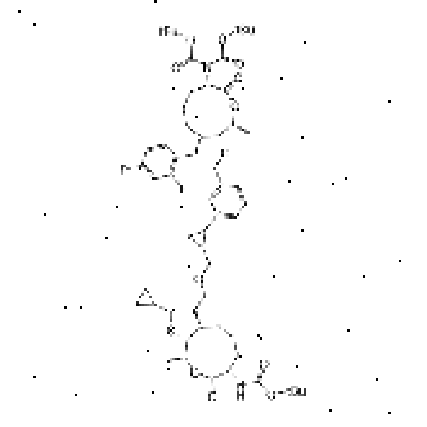 C[C@@H]1OC(=O)[C@@H](NC(=O)OC(C)(C)C)CCC[C@H](CCOCC2CC2c2cccc(CO[C@@H]3[C@@H](Cc4ccc(F)cc4F)CCC[C@H](N(C(=O)OC(C)(C)C)C(=O)OC(C)(C)C)C(=O)O[C@H]3C)c2)[C@H]1OCC1CC1